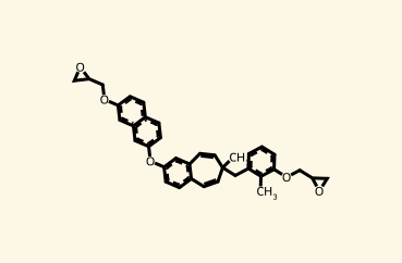 Cc1c(CC2(C)C=Cc3ccc(Oc4ccc5ccc(OCC6CO6)cc5c4)cc3C=C2)cccc1OCC1CO1